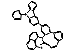 C/C1=C\C=C/c2cccc(c2)-c2ccc(-c3ccc4c(c3)c3ccccc3n4-c3ccccc3)cc2N1c1cccc2cccc(Br)c12